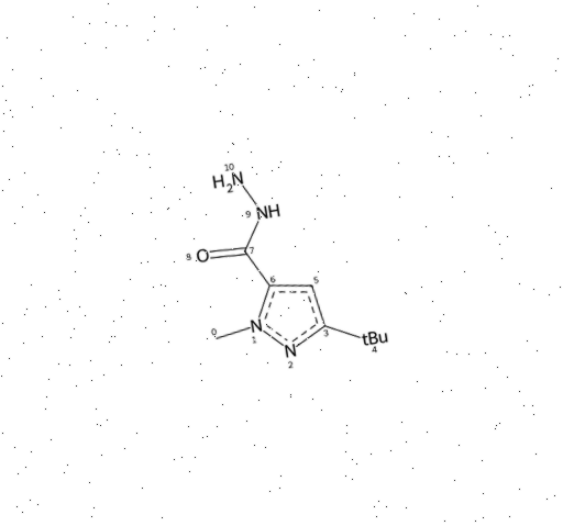 Cn1nc(C(C)(C)C)cc1C(=O)NN